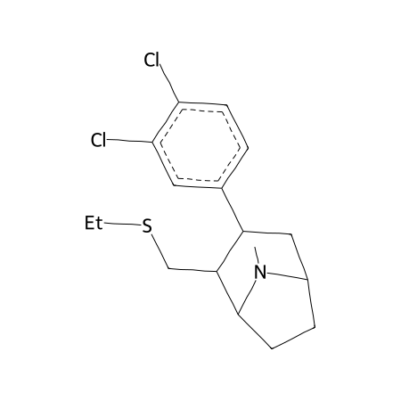 CCSCC1C(c2ccc(Cl)c(Cl)c2)CC2CCC1N2C